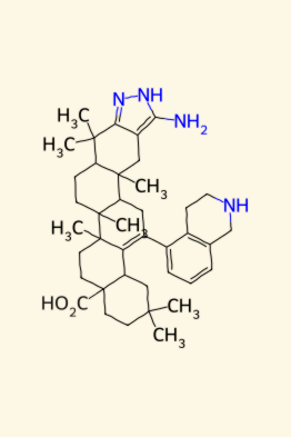 CC1(C)CCC2(C(=O)O)CCC3(C)C(=C(c4cccc5c4CCNC5)CC4C5(C)Cc6c(n[nH]c6N)C(C)(C)C5CCC43C)C2C1